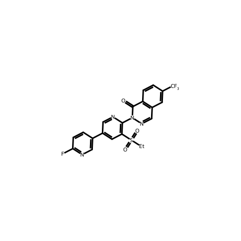 CCS(=O)(=O)c1cc(-c2ccc(F)nc2)cnc1-n1ncc2cc(C(F)(F)F)ccc2c1=O